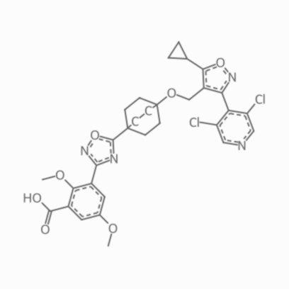 COc1cc(C(=O)O)c(OC)c(-c2noc(C34CCC(OCc5c(-c6c(Cl)cncc6Cl)noc5C5CC5)(CC3)CC4)n2)c1